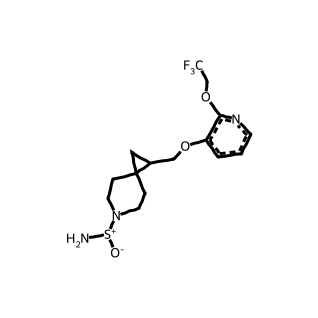 N[S+]([O-])N1CCC2(CC1)CC2COc1cccnc1OCC(F)(F)F